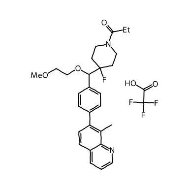 CCC(=O)N1CCC(F)(C(OCCOC)c2ccc(-c3ccc4cccnc4c3C)cc2)CC1.O=C(O)C(F)(F)F